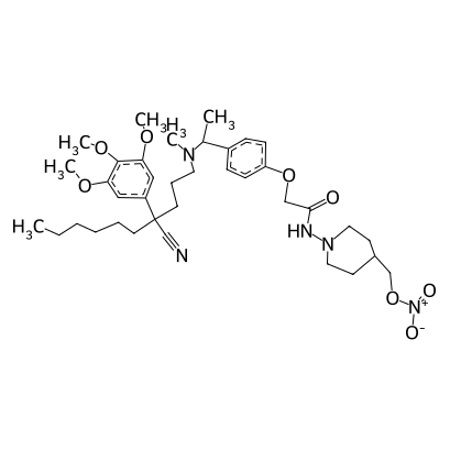 CCCCCCC(C#N)(CCCN(C)C(C)c1ccc(OCC(=O)NN2CCC(CO[N+](=O)[O-])CC2)cc1)c1cc(OC)c(OC)c(OC)c1